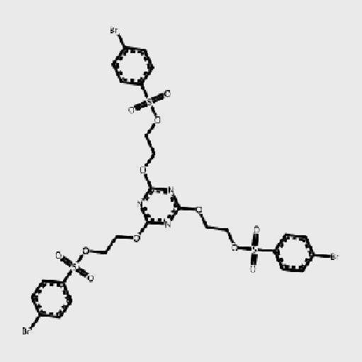 O=S(=O)(OCCOc1nc(OCCOS(=O)(=O)c2ccc(Br)cc2)nc(OCCOS(=O)(=O)c2ccc(Br)cc2)n1)c1ccc(Br)cc1